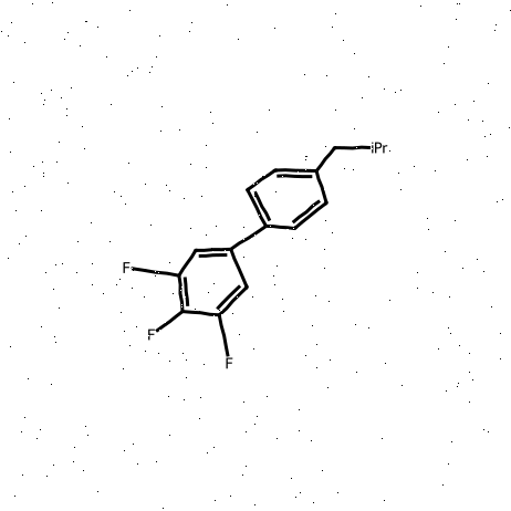 CC(C)Cc1ccc(-c2cc(F)c(F)c(F)c2)cc1